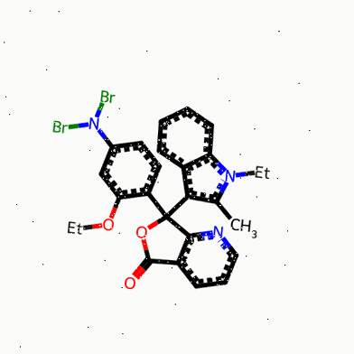 CCOc1cc(N(Br)Br)ccc1C1(c2c(C)n(CC)c3ccccc23)OC(=O)c2cccnc21